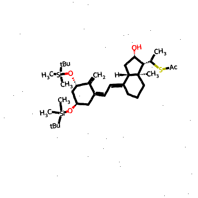 C=C1/C(=C\C=C2/CCC[C@@]3(C)[C@H]2C[C@H](O)[C@@H]3C(C)SC(C)=O)C[C@@H](O[Si](C)(C)C(C)(C)C)C[C@@H]1O[Si](C)(C)C(C)(C)C